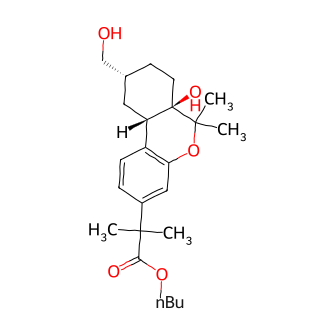 CCCCOC(=O)C(C)(C)c1ccc2c(c1)OC(C)(C)[C@@]1(O)CC[C@@H](CO)C[C@@H]21